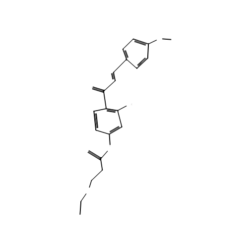 CCCCCC(=O)Oc1ccc(C(=O)/C=C/c2ccc(OC)cc2)c(O)c1